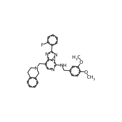 COc1ccc(CNc2ncc(CN3CCc4ccccc4C3)c3nc(-c4ccccc4F)nn23)cc1OC